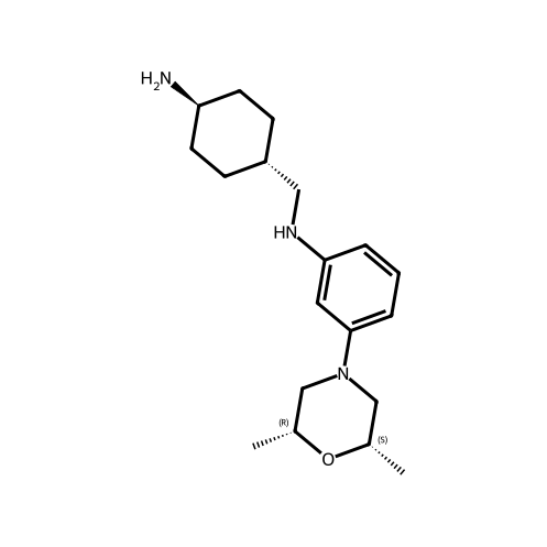 C[C@@H]1CN(c2cccc(NC[C@H]3CC[C@H](N)CC3)c2)C[C@H](C)O1